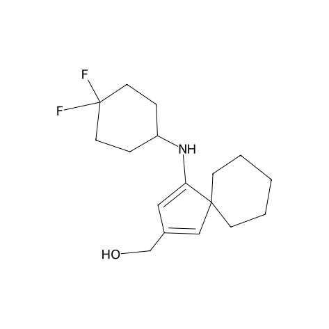 OCC1=CC2(CCCCC2)C(NC2CCC(F)(F)CC2)=C1